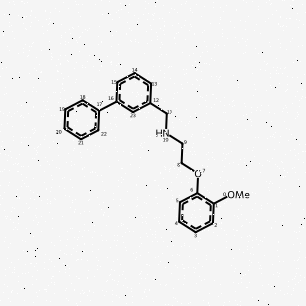 COc1ccccc1OCCNCc1cccc(-c2ccccc2)c1